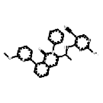 COc1cccc(-c2cccc3cc(C(C)Nc4nc(N)ncc4C#N)n(-c4ccccc4)c(=O)c23)n1